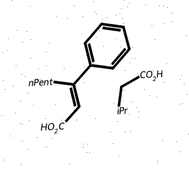 CC(C)CC(=O)O.CCCCCC(=CC(=O)O)c1ccccc1